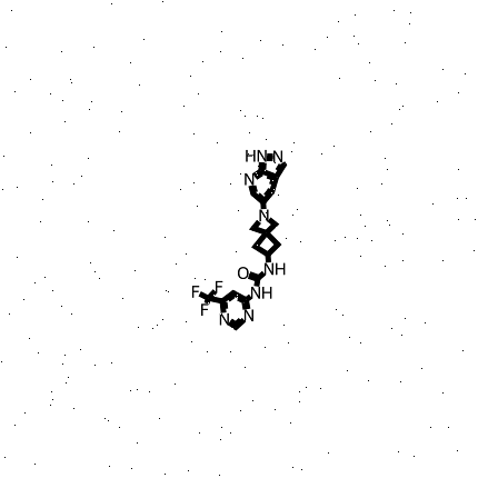 O=C(Nc1cc(C(F)(F)F)ncn1)NC1CC2(C1)CN(c1cnc3[nH]ncc3c1)C2